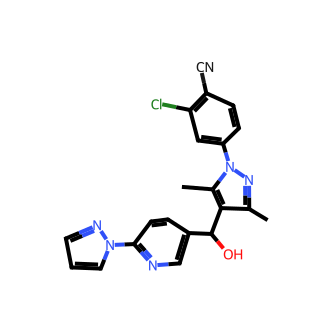 Cc1nn(-c2ccc(C#N)c(Cl)c2)c(C)c1C(O)c1ccc(-n2cccn2)nc1